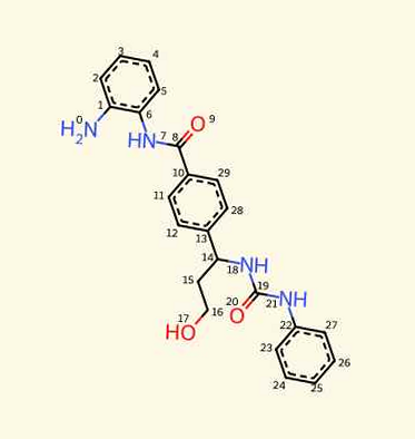 Nc1ccccc1NC(=O)c1ccc(C(CCO)NC(=O)Nc2ccccc2)cc1